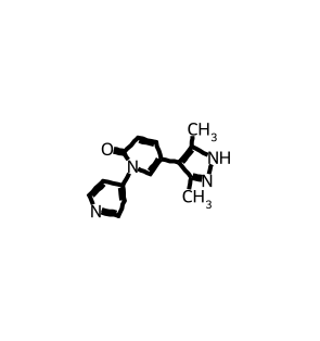 Cc1n[nH]c(C)c1-c1ccc(=O)n(-c2ccncc2)c1